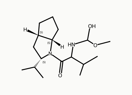 COC(O)NC(C(=O)N1[C@H](C(C)C)C[C@@H]2CCC[C@@H]21)C(C)C